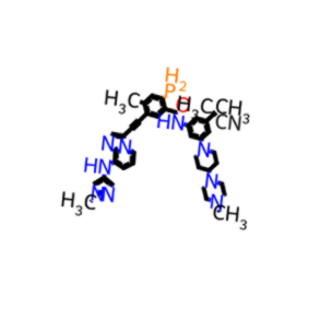 Cc1cc(P)c(C(=O)Nc2cc(N3CCC(N4CCN(C)CC4)CC3)cc(C(C)(C)C#N)c2)cc1C#Cc1cnc2c(Nc3cnn(C)c3)cccn12